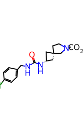 O=C(NCc1ccc(Cl)cc1)N[C@H]1C[C@@]2(CCN(C(=O)O)C2)C1